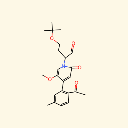 COc1cn(C(C=O)CCOC(C)(C)C)c(=O)cc1-c1cc(C)ccc1C(C)=O